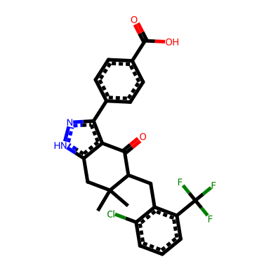 CC1(C)Cc2[nH]nc(-c3ccc(C(=O)O)cc3)c2C(=O)C1Cc1c(Cl)cccc1C(F)(F)F